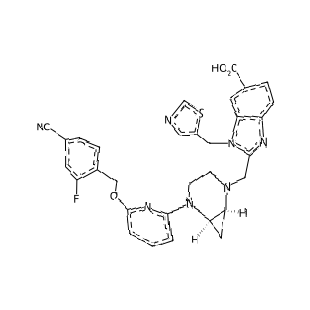 N#Cc1ccc(COc2cccc(N3CCN(Cc4nc5ccc(C(=O)O)cc5n4Cc4cncs4)[C@H]4C[C@H]43)n2)c(F)c1